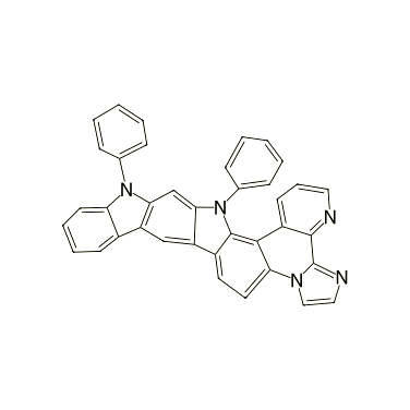 c1ccc(-n2c3ccccc3c3cc4c5ccc6c(c7cccnc7c7nccn67)c5n(-c5ccccc5)c4cc32)cc1